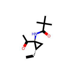 C=C[C@H]1C[C@@]1(NC(=O)C(C)(C)C)C(C)=O